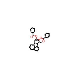 CC12CCC(C(OC(=O)c3ccccc3)C1OC(=O)c1ccccc1)C1c3cccc4cccc(c34)C12